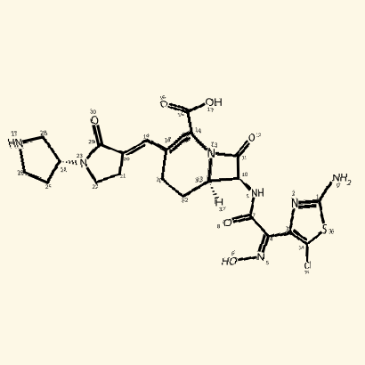 Nc1nc(/C(=N/O)C(=O)N[C@@H]2C(=O)N3C(C(=O)O)=C(/C=C4\CCN([C@@H]5CCNC5)C4=O)CC[C@H]23)c(Cl)s1